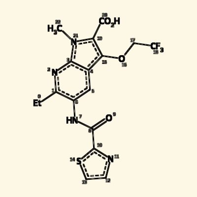 CCc1nc2c(cc1NC(=O)c1nccs1)c(OCC(F)(F)F)c(C(=O)O)n2C